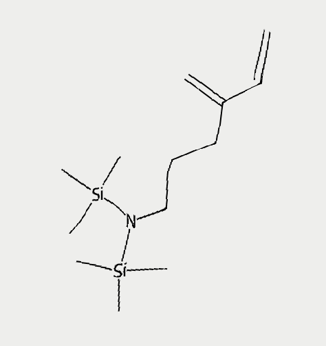 C=CC(=C)CCCN([Si](C)(C)C)[Si](C)(C)C